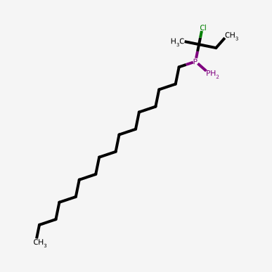 CCCCCCCCCCCCCCCCP(P)C(C)(Cl)CC